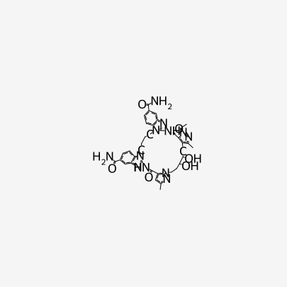 CCn1nc(C)c2c1C(=O)Nc1nc3cc(C(N)=O)ccc3n1CCCCn1c(nc3cc(C(N)=O)ccc31)NC(=O)c1cc(C)nn1CCC(O)C(O)C2